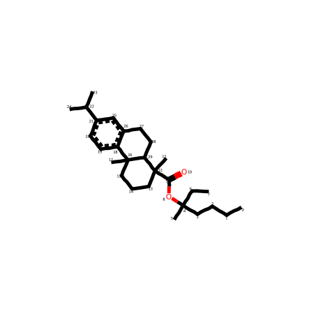 CCCCC(C)(CC)OC(=O)C1(C)CCCC2(C)c3ccc(C(C)C)cc3CCC12